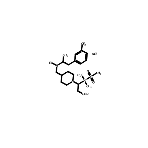 CCN(CC1CCN(C(CC=O)[N+](C)(C)S(C)(=O)=O)CC1)C(C)Cc1cccc(C(F)(F)F)c1.Cl